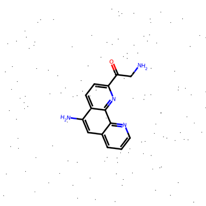 NCC(=O)c1ccc2c(N)cc3cccnc3c2n1